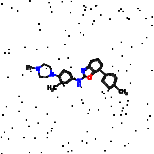 Cc1ccc(-c2cccc3nc(Nc4ccc(N5CCN(C(C)C)CC5)c(C)c4)oc23)cc1